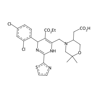 CCOC(=O)C1=C(CN2CC(C)(C)OCC2CC(=O)O)NC(c2nccs2)=NC1c1ccc(Cl)cc1Cl